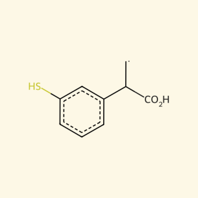 [CH2]C(C(=O)O)c1cccc(S)c1